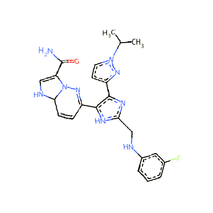 CC(C)n1ccc(-c2nc(CNc3cccc(F)c3)[nH]c2C2=NN3C(C(N)=O)=CNC3C=C2)n1